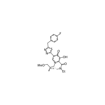 CCN1C[C@H]([C@@H](C)COC)n2cc(-c3nnc(Cc4ccc(F)cc4)s3)c(=O)c(O)c2C1=O